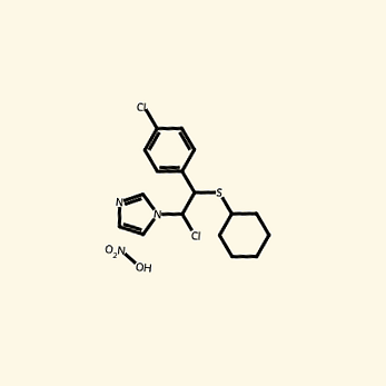 Clc1ccc(C(SC2CCCCC2)C(Cl)n2ccnc2)cc1.O=[N+]([O-])O